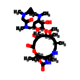 CC[C@H]1OC(=O)CC(=O)[C@H](C)[C@@H](O[C@@H]2O[C@H](CN(C)C(=O)CN(C)C3CC3)CC(N(C)C)[C@H]2O)[C@](C)(OC)C[C@@H](C)CN[C@H](C)[C@H]2NC(=O)O[C@@]21C